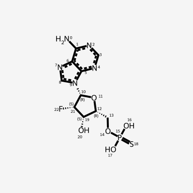 Nc1ncnc2c1ncn2[C@@H]1O[C@H](COP(O)(O)=S)[C@H](O)[C@@H]1F